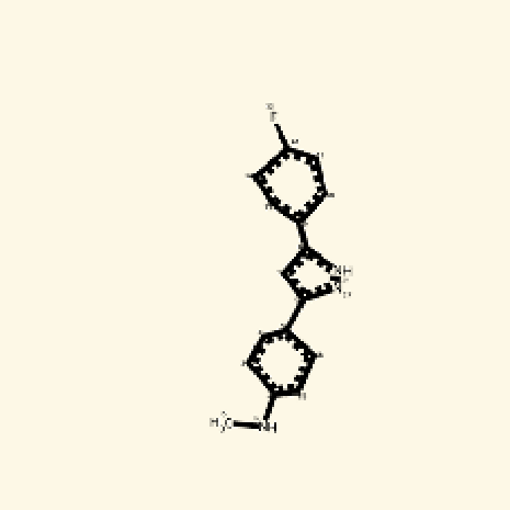 CNc1ccc(-c2cc(-c3ccc(F)cc3)[nH]n2)cc1